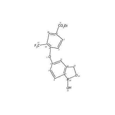 CCOC(=O)c1ccc(Oc2ccc3c(c2)COB3O)c(C(F)(F)F)c1